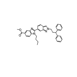 CCCCn1c(-c2ccc3cn(CCC(c4ccccc4)c4ccccc4)nc3c2)nc2cc(C(=O)OC)ccc21